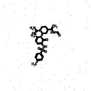 C=C(NC=O)C1CCN(C(=N)N)C(n2c(C)ccc(NS(=O)(=O)c3ccc(C)cc3)c2=O)C1